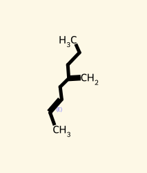 C=C(C/C=C/C)CCC